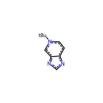 CC(C)(C)n1ccc2ncnc-2c1